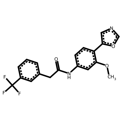 COc1cc(NC(=O)Cc2cccc(C(F)(F)F)c2)ccc1-c1cnco1